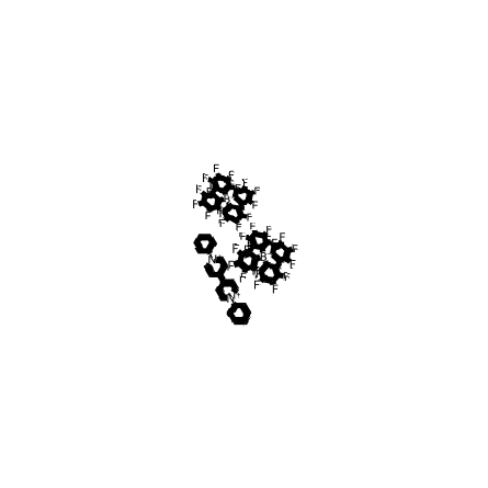 Fc1c(F)c(F)c([B-](c2c(F)c(F)c(F)c(F)c2F)(c2c(F)c(F)c(F)c(F)c2F)c2c(F)c(F)c(F)c(F)c2F)c(F)c1F.Fc1c(F)c(F)c([B-](c2c(F)c(F)c(F)c(F)c2F)(c2c(F)c(F)c(F)c(F)c2F)c2c(F)c(F)c(F)c(F)c2F)c(F)c1F.c1ccc(-[n+]2ccc(-c3cc[n+](-c4ccccc4)cc3)cc2)cc1